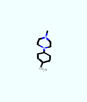 CN1CCN(C2CCC(C(=O)O)CC2)CC1